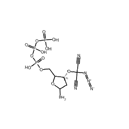 BC1C[C@@H](OC(C#N)(C#N)N=[N+]=[N-])C(COP(=O)(O)OP(=O)(O)OP(=O)(O)O)O1